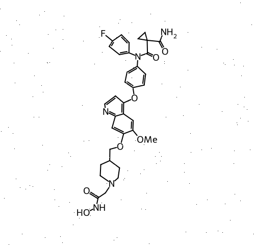 COc1cc2c(Oc3ccc(N(C(=O)C4(C(N)=O)CC4)c4ccc(F)cc4)cc3)ccnc2cc1OCC1CCN(CC(=O)NO)CC1